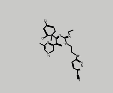 C=C(C#N)/C=C\C(=N/C)NCCNC(=N/CC)/N=C(\C(=C)C1=NC(C)=CNC1)C1(C)CC=C(Cl)C=C1Cl